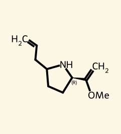 C=CCC1CC[C@H](C(=C)OC)N1